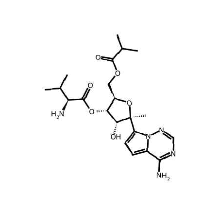 CC(C)C(=O)OC[C@H]1O[C@@](C)(c2ccc3c(N)ncnn23)[C@H](O)[C@@H]1OC(=O)[C@@H](N)C(C)C